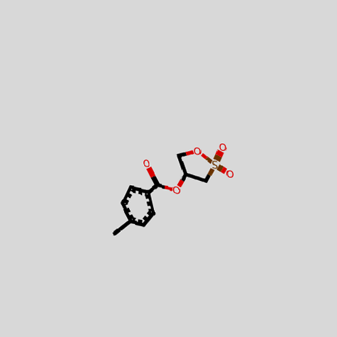 Cc1ccc(C(=O)OC2COS(=O)(=O)C2)cc1